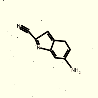 N#CC1=NC2=CC(N)=CCC2=C1